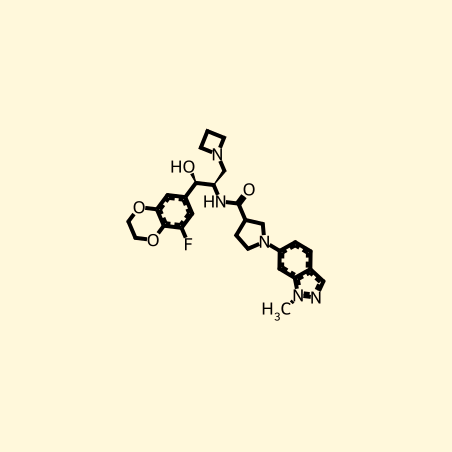 Cn1ncc2ccc(N3CCC(C(=O)N[C@H](CN4CCC4)[C@H](O)c4cc(F)c5c(c4)OCCO5)C3)cc21